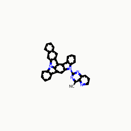 N#Cc1nc(-n2c3ccccc3c3c4c5cc6ccccc6cc5n5c6ccccc6c(cc32)c45)nc2cccnc12